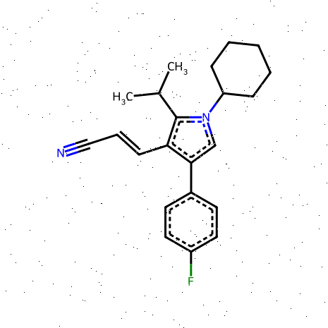 CC(C)c1c(/C=C/C#N)c(-c2ccc(F)cc2)cn1C1CCCCC1